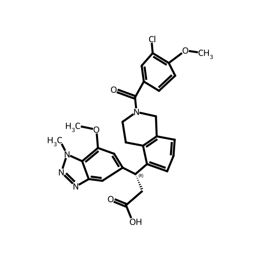 COc1ccc(C(=O)N2CCc3c(cccc3[C@H](CC(=O)O)c3cc(OC)c4c(c3)nnn4C)C2)cc1Cl